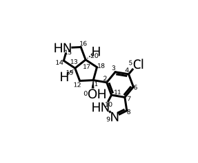 O[C@@]1(c2cc(Cl)cc3cn[nH]c23)C[C@H]2CNC[C@H]2C1